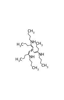 CCCCNC(=CP(C=C(CCC)NCCCC)C=C(CCC)NCCCC)CCC